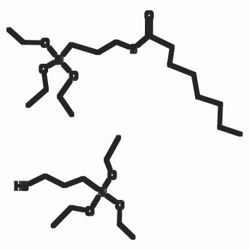 CCCCCCCC(=O)SCCC[Si](OCC)(OCC)OCC.CCO[Si](CCCS)(OCC)OCC